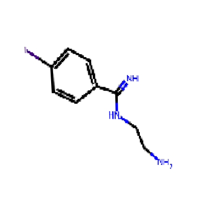 N=C(NCCN)c1ccc(I)cc1